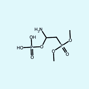 COP(=O)(CC(N)OP(=O)(O)O)OC